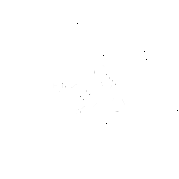 NC(=S)Cn1nc(-c2c(-c3ccccc3)nn3ccccc23)ccc1=O